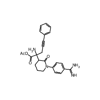 CC(=O)OC(=O)C(N)(CC#Cc1ccccc1)C1CCCN(c2ccc(C(=N)N)cc2)C1=O